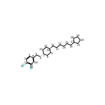 Fc1ccc(CC[C@H]2CC[C@H](CCCCCCC3CCCC3)CC2)cc1F